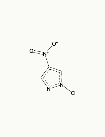 O=[N+]([O-])c1cnn(Cl)c1